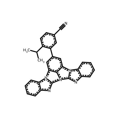 CC(C)c1ccc(C#N)cc1-c1cc2c3c(c1)n1c4ccccc4nc1n3c1nc3ccccc3n21